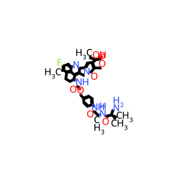 CCC1(O)C(=O)OCc2c1cc1n(c2=O)Cc2c-1nc1cc(F)c(C)c3c1c2C(NC(=O)OCc1ccc(NC(=O)C(C)NC(=O)C(CN)C(C)C)cc1)CC3